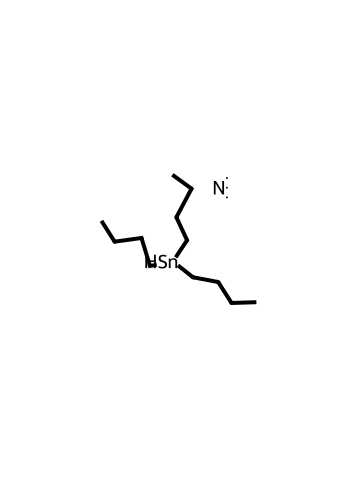 CCC[CH2][SnH]([CH2]CCC)[CH2]CCC.[N]